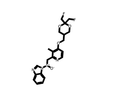 Cc1c(OCC2COC(CF)(CF)OC2)ccnc1C[S+]([O-])n1cnc2ccccc21